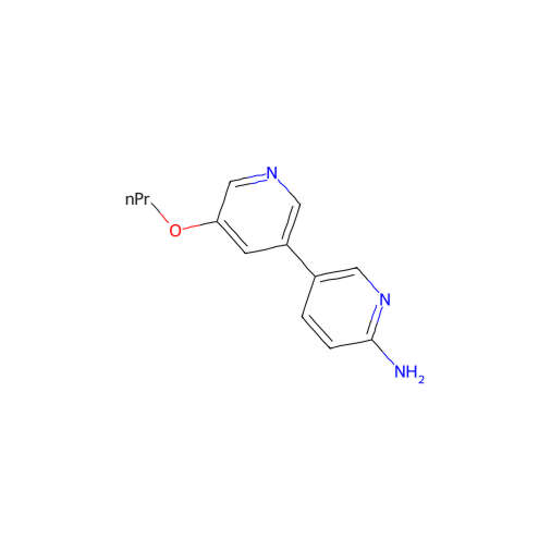 CCCOc1cncc(-c2ccc(N)nc2)c1